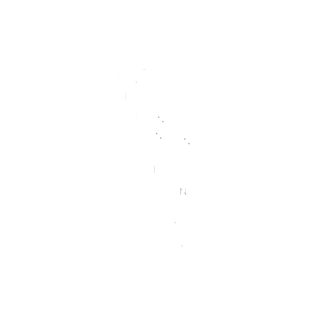 O=C(CC(F)(F)F)NNc1nccc(N2CCC3(CC2)COc2ccccc23)c1Cl